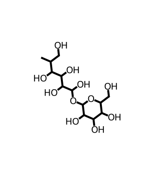 CC(CO)C(O)C(O)C(O)C(O)OC1OC(CO)C(O)C(O)C1O